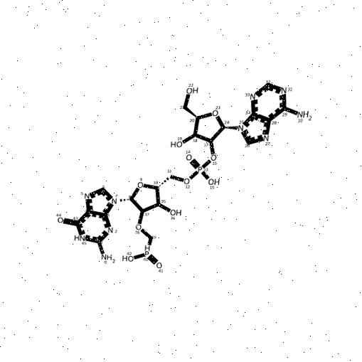 Nc1nc2c(ncn2[C@@H]2O[C@H](COP(=O)(O)OC3C(O)[C@@H](CO)O[C@H]3n3cnc4c(N)ncnc43)C(O)C2OC[PH](=O)O)c(=O)[nH]1